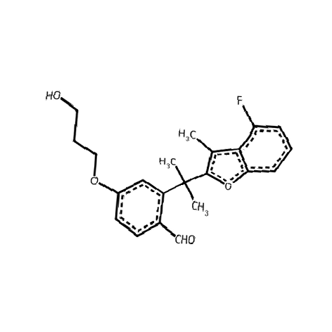 Cc1c(C(C)(C)c2cc(OCCCO)ccc2C=O)oc2cccc(F)c12